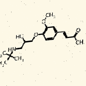 COc1cc(C=CC(C)=O)ccc1OCC(O)CNC(C)(C)C